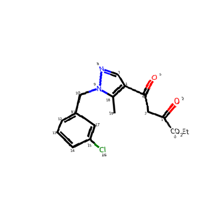 CCOC(=O)C(=O)CC(=O)c1cnn(Cc2cccc(Cl)c2)c1C